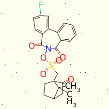 CC1(C)C2CCC1(CS(=O)(=O)On1c(=O)c3ccccc3c3cc(F)ccc3c1=O)C(=O)C2